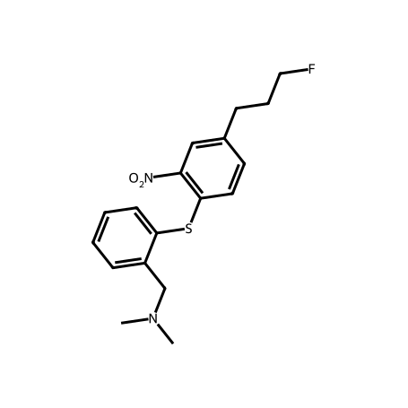 CN(C)Cc1ccccc1Sc1ccc(CCCF)cc1[N+](=O)[O-]